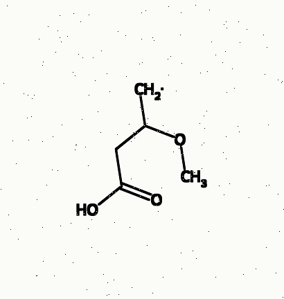 [CH2]C(CC(=O)O)OC